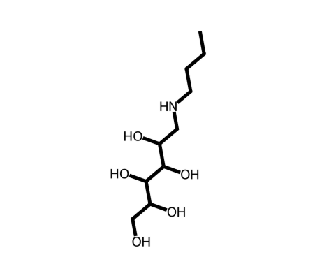 CCCCNCC(O)C(O)C(O)C(O)CO